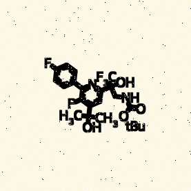 CC(C)(C)OC(=O)NCC(O)(c1cc(C(C)(C)O)c(F)c(-c2ccc(F)cc2)n1)C(F)(F)F